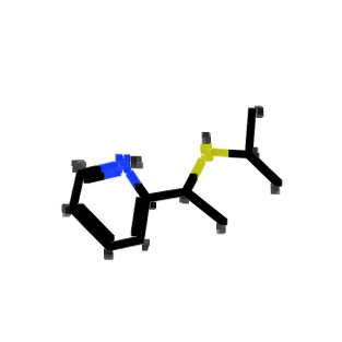 CC(C)SC(C)c1ccccn1